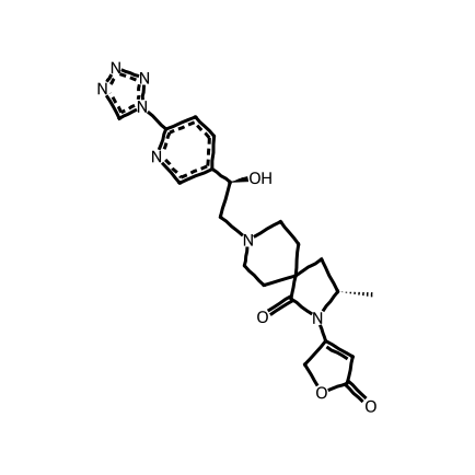 C[C@H]1CC2(CCN(C[C@H](O)c3ccc(-n4cnnn4)nc3)CC2)C(=O)N1C1=CC(=O)OC1